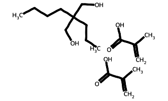 C=C(C)C(=O)O.C=C(C)C(=O)O.CCCCC(CO)(CO)CCC